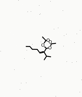 CCCCC=C(C(C)C)C(OC(C)=O)OC(C)=O